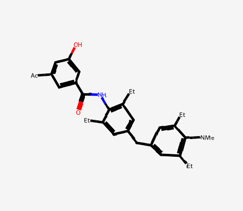 CCc1cc(Cc2cc(CC)c(NC(=O)c3cc(O)cc(C(C)=O)c3)c(CC)c2)cc(CC)c1NC